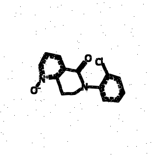 O=C1c2ccc[n+]([O-])c2CCN1c1ccccc1Cl